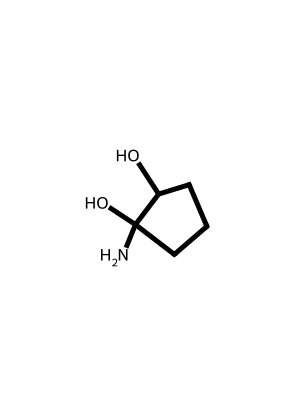 NC1(O)CCCC1O